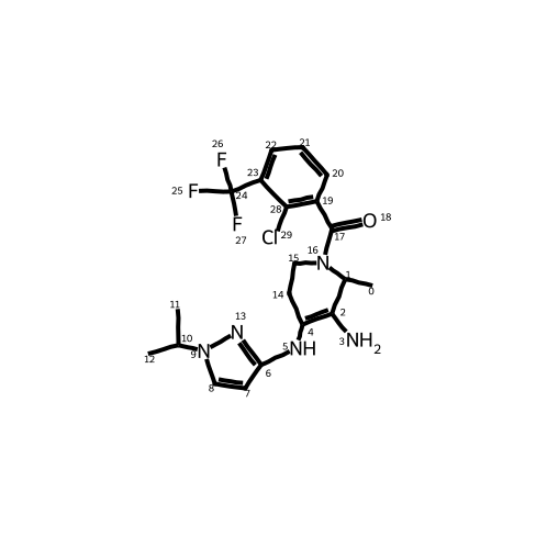 CC1C(N)=C(Nc2ccn(C(C)C)n2)CCN1C(=O)c1cccc(C(F)(F)F)c1Cl